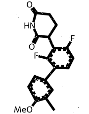 COc1ccc(-c2ccc(F)c(C3CCC(=O)NC3=O)c2F)cc1C